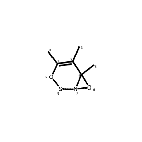 CC1=C(C)C2(C)ON2SO1